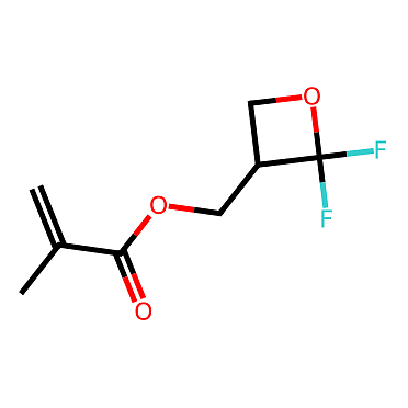 C=C(C)C(=O)OCC1COC1(F)F